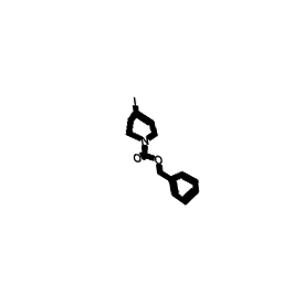 O=C(OCc1ccccc1)N1CC=C(I)CC1